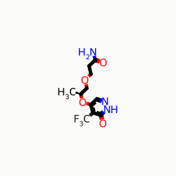 C[C@@H](COCCC(N)=O)Oc1cn[nH]c(=O)c1C(F)(F)F